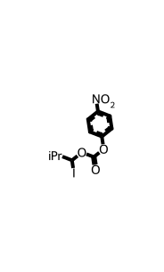 CC(C)C(I)OC(=O)Oc1ccc([N+](=O)[O-])cc1